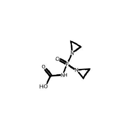 O=C(O)NP(=O)(N1CC1)N1CC1